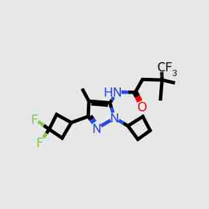 Cc1c(C2CC(F)(F)C2)nn(C2CCC2)c1NC(=O)CC(C)(C)C(F)(F)F